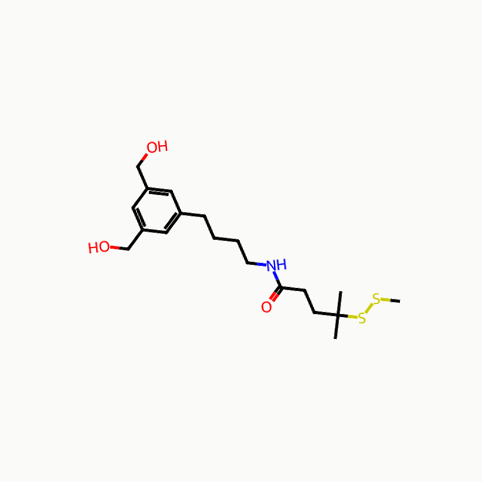 CSSC(C)(C)CCC(=O)NCCCCc1cc(CO)cc(CO)c1